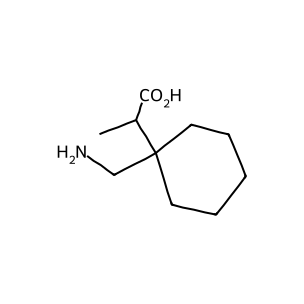 CC(C(=O)O)C1(CN)CCCCC1